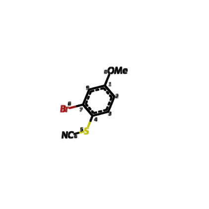 COc1ccc(SC#N)c(Br)c1